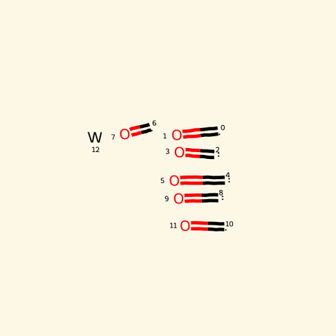 [C]=O.[C]=O.[C]=O.[C]=O.[C]=O.[C]=O.[W]